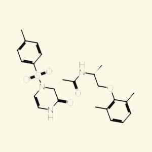 Cc1ccc(S(=O)(=O)N2C=CNC(=O)[C@H]2CC(=O)N[C@@H](C)COc2c(C)cccc2C)cc1